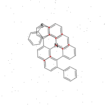 c1ccc(-c2ccccc2-c2ccccc2N(c2ccccc2-c2ccccc2-c2ccccc2)c2cccc3sc4ccccc4c23)cc1